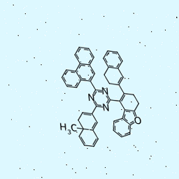 CC12C=CC=CC1=CC(c1nc(C3=C(C4=Cc5ccccc5CC4)CCc4oc5ccccc5c43)nc(-c3cc4ccccc4c4ccccc34)n1)=CC2